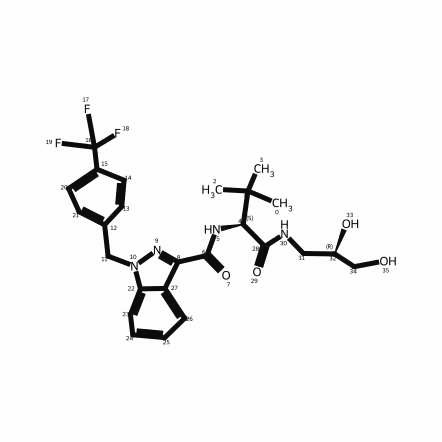 CC(C)(C)[C@H](NC(=O)c1nn(Cc2ccc(C(F)(F)F)cc2)c2ccccc12)C(=O)NC[C@@H](O)CO